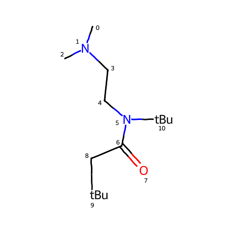 CN(C)CCN(C(=O)CC(C)(C)C)C(C)(C)C